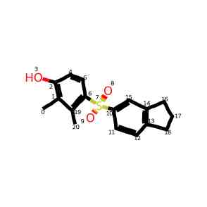 Cc1c(O)ccc(S(=O)(=O)c2ccc3c(c2)CCC3)c1C